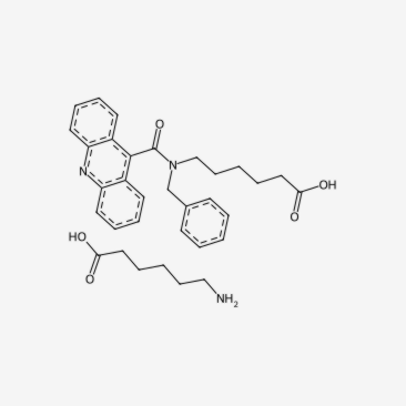 NCCCCCC(=O)O.O=C(O)CCCCCN(Cc1ccccc1)C(=O)c1c2ccccc2nc2ccccc12